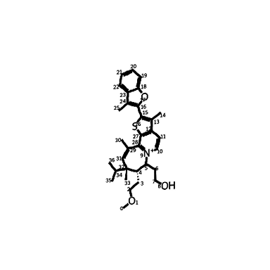 COCC[C@H]1C(CCO)[n+]2ccc3c(C)c(-c4oc5ccccc5c4C)sc3c2C(C)=C[C@@]1(C)C(C)C